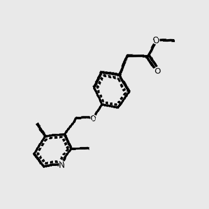 COC(=O)Cc1ccc(OCc2c(C)ccnc2C)cc1